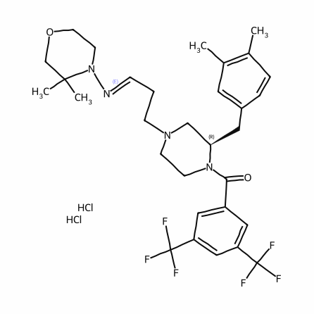 Cc1ccc(C[C@@H]2CN(CC/C=N/N3CCOCC3(C)C)CCN2C(=O)c2cc(C(F)(F)F)cc(C(F)(F)F)c2)cc1C.Cl.Cl